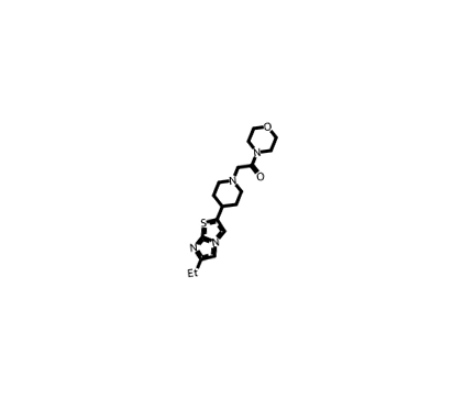 CCc1cn2cc(C3CCN(CC(=O)N4CCOCC4)CC3)sc2n1